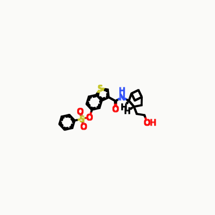 O=C(N[C@@H]1C2CC(C2)C[C@@H]1CCO)c1csc2ccc(OS(=O)(=O)c3ccccc3)cc12